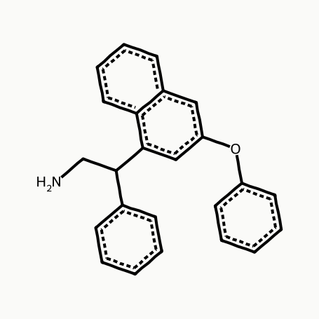 NCC(c1ccccc1)c1cc(Oc2ccccc2)cc2ccccc12